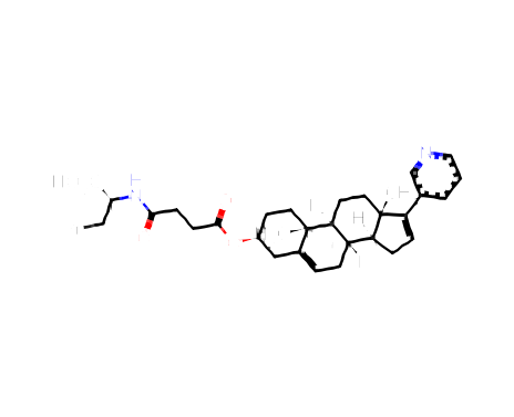 CC(C)C[C@H](NC(=O)CCC(=O)O[C@H]1CC[C@@]2(C)C(=CC[C@@H]3[C@@H]2CC[C@]2(C)C(c4cccnc4)=CC[C@@H]32)C1)C(=O)O